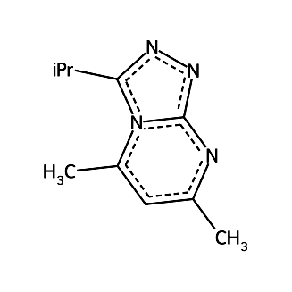 Cc1cc(C)n2c(C(C)C)nnc2n1